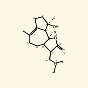 CC1=C2CC[C@@](C)(O)C2[C@H]2OC(=O)[C@@H](CN(C)C)C2CC1